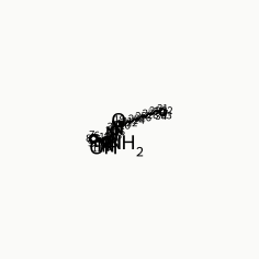 Nc1nnc(-c2ccccc2O)cc1N1CCN(C(=O)CCCCCCCCCCC2CCCC2)CC1